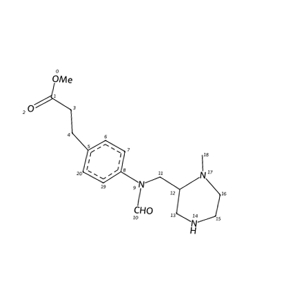 COC(=O)CCc1ccc(N(C=O)CC2CNCCN2C)cc1